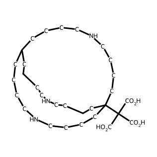 O=C(O)C(C(=O)O)(C(=O)O)C12CCCCNCCCCC(CCCCNCCCC1)CCCCNCCCC2